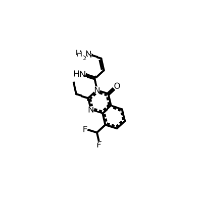 CCc1nc2c(C(F)F)cccc2c(=O)n1C(=N)/C=C\N